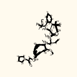 CC[C@@H](CNc1ccc(OCC(=O)N2CCCC2)cc1OC)NC(=O)[C@H](CC(C)(C)F)N[C@@H](c1ccccc1)C(F)(F)F